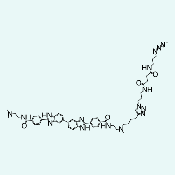 CN(C)CCNC(=O)c1ccc(-c2nc3cc(-c4ccc5[nH]c(-c6ccc(C(=O)NCCN(C)CCCCc7cn(CCCNC(=O)CCC(=O)NCCCN=[N+]=[N-])nn7)cc6)nc5c4)ccc3[nH]2)cc1